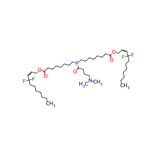 CCCCCCCC(F)(F)/C=C\COC(=O)CCCCCCCP(CCCCCCCC(=O)OC/C=C\C(F)(F)CCCCCCC)C(=O)CCCN(C)C